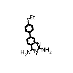 CCSc1ccc(-c2ccc3c(c2)N=C(N)N(C)C3N)cc1